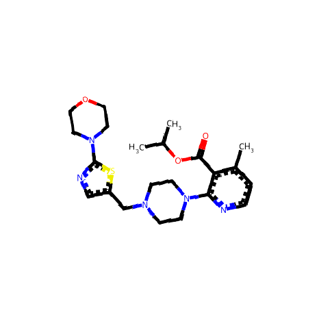 Cc1ccnc(N2CCN(Cc3cnc(N4CCOCC4)s3)CC2)c1C(=O)OC(C)C